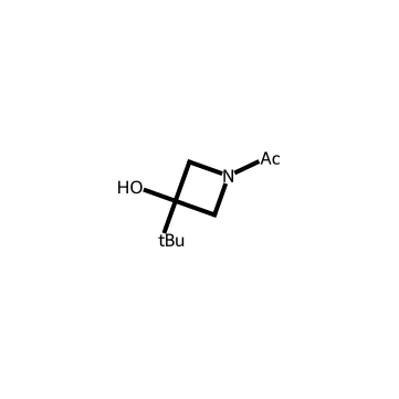 CC(=O)N1CC(O)(C(C)(C)C)C1